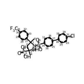 CC(CC(C)(O)P(=O)(O)O)(NS(=O)(=O)c1ccc(-c2ccc(Cl)cc2)cc1)c1ccc(C(F)(F)F)cc1